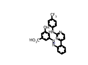 O=C(O)c1cc(O)cc(/N=N/c2ccccc2-c2ccnc(Nc3ccc(C(F)(F)F)cc3)n2)c1